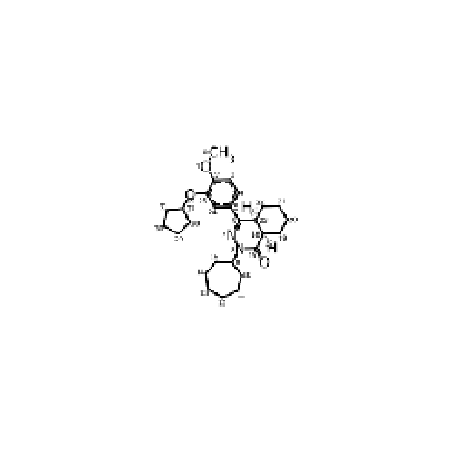 COc1ccc(C2=NN(C3CCCCCC3)C(=O)[C@@H]3CCCC[C@H]23)cc1OC1CCCC1